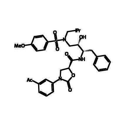 COc1ccc(S(=O)(=O)N(CC(C)C)C[C@H](O)[C@H](Cc2ccccc2)NC(=O)[C@@H]2CN(c3cccc(C(C)=O)c3)C(=O)O2)cc1